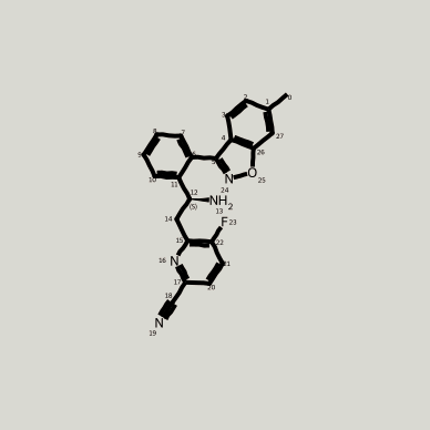 Cc1ccc2c(-c3ccccc3[C@@H](N)Cc3nc(C#N)ccc3F)noc2c1